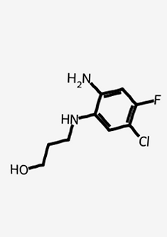 Nc1cc(F)c(Cl)cc1NCCCO